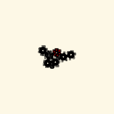 C1=CC(c2ccc3c(c2)c2ccccc2n3-c2ccc3oc4cccc(-c5nc(-c6ccccc6)nc(-c6ccccc6)n5)c4c3c2)=CCC1